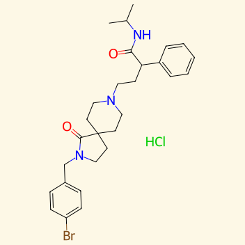 CC(C)NC(=O)C(CCN1CCC2(CC1)CCN(Cc1ccc(Br)cc1)C2=O)c1ccccc1.Cl